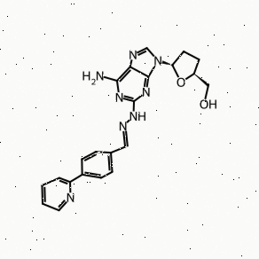 Nc1nc(N/N=C/c2ccc(-c3ccccn3)cc2)nc2c1ncn2[C@H]1CC[C@@H](CO)O1